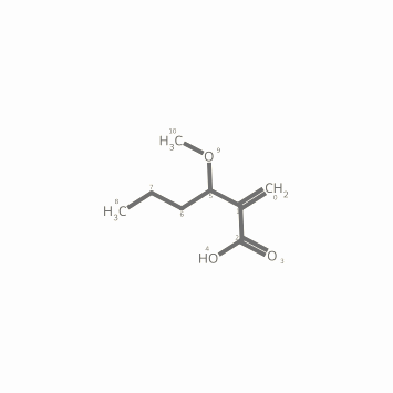 C=C(C(=O)O)C(CCC)OC